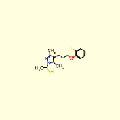 Cc1nn(C(C)S)c(C)c1CCCOc1ccccc1F